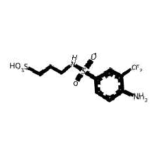 Nc1ccc(S(=O)(=O)NCCCS(=O)(=O)O)cc1C(F)(F)F